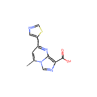 Cc1cc(-c2cncs2)nc2c(C(=O)O)ncn12